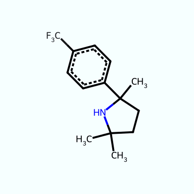 CC1(C)CCC(C)(c2ccc(C(F)(F)F)cc2)N1